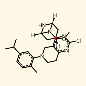 CO[C@@H]1C[C@@H]2N[C@H](C1)N2c1nc(Cl)nc2c1CN(c1cc(C(C)C)ccc1C)CC2